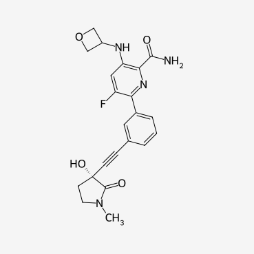 CN1CC[C@@](O)(C#Cc2cccc(-c3nc(C(N)=O)c(NC4COC4)cc3F)c2)C1=O